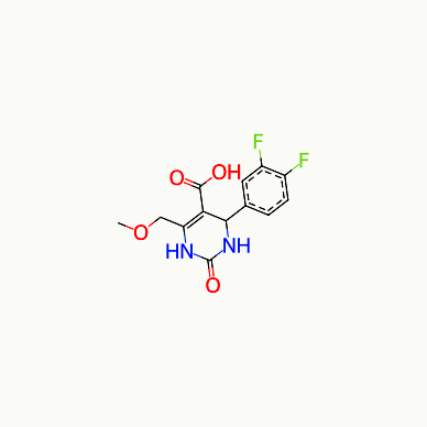 COCC1=C(C(=O)O)C(c2ccc(F)c(F)c2)NC(=O)N1